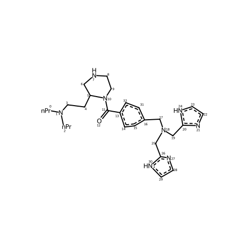 CCCN(CCC)CCC1CNCCN1C(=O)c1ccc(CN(Cc2ncc[nH]2)Cc2ncc[nH]2)cc1